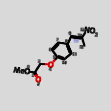 COC(=O)COc1ccc(/C=C(\C)[N+](=O)[O-])cc1